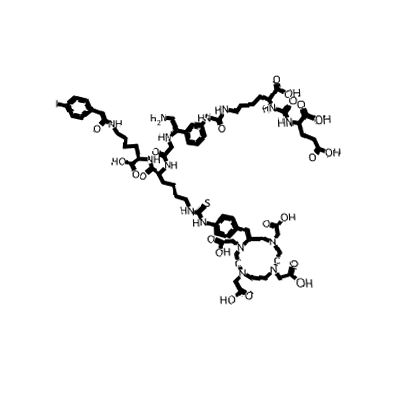 N/C=C(\NCC(=O)NC(CCCCNC(=S)Nc1ccc(CC2CN(CC(=O)O)CCN(CC(=O)O)CCN(CC(=O)O)CCN2CC(=O)O)cc1)C(=O)NC(CCCCNC(=O)Cc1ccc(I)cc1)C(=O)O)c1cccc(NC(=O)NCCCCC(NC(=O)NC(CCC(=O)O)C(=O)O)C(=O)O)c1